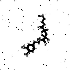 CCC(C)(CC(C)(C)C(=O)OCCOC)C(=O)NCCc1ccc(O)c(O)c1